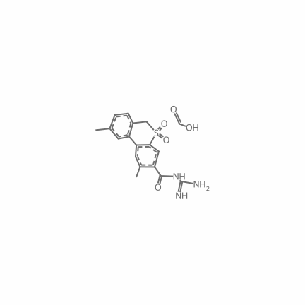 Cc1ccc2c(c1)-c1cc(C)c(C(=O)NC(=N)N)cc1S(=O)(=O)C2.O=CO